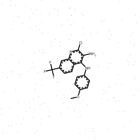 COc1ccc(Nc2c(N)c(Cl)nc3cc(C(F)(F)F)ccc23)cc1